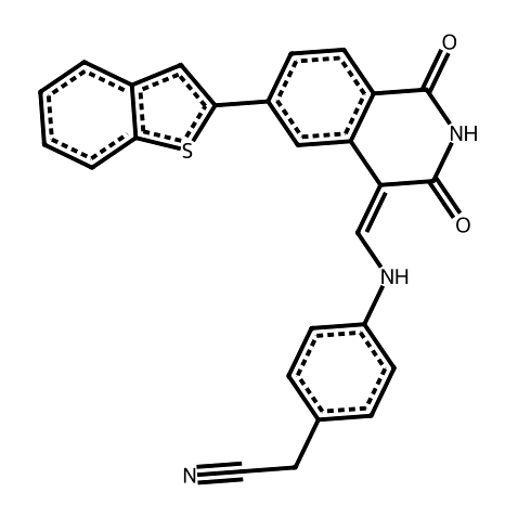 N#CCc1ccc(N/C=C2\C(=O)NC(=O)c3ccc(-c4cc5ccccc5s4)cc32)cc1